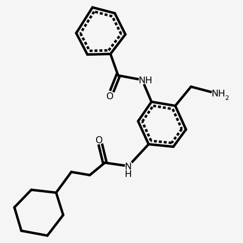 NCc1ccc(NC(=O)CCC2CCCCC2)cc1NC(=O)c1ccccc1